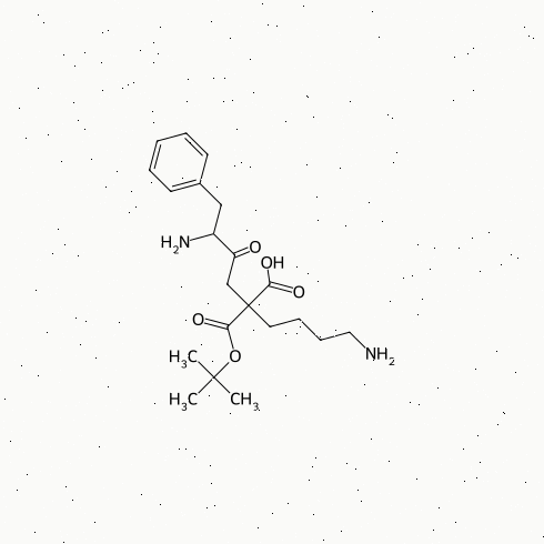 CC(C)(C)OC(=O)C(CCCCN)(CC(=O)C(N)Cc1ccccc1)C(=O)O